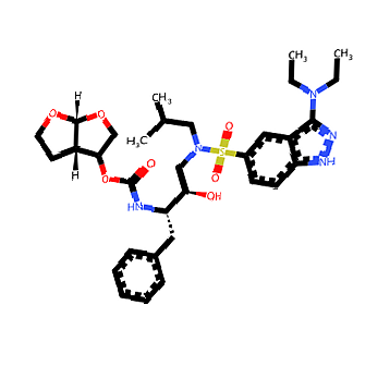 CCN(CC)c1n[nH]c2ccc(S(=O)(=O)N(CC(C)C)C[C@@H](O)[C@H](Cc3ccccc3)NC(=O)OC3CO[C@H]4OCC[C@@H]34)cc12